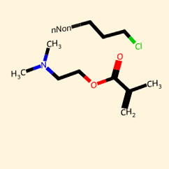 C=C(C)C(=O)OCCN(C)C.CCCCCCCCCCCCCl